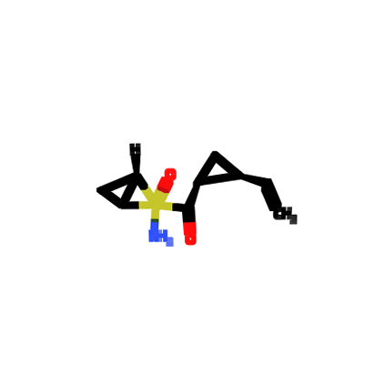 C=C[C@@H]1C[C@@H]1C(=O)S1(N)(=O)C2C[C@@H]21